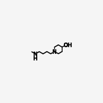 CNCCCCN1CCC(O)CC1